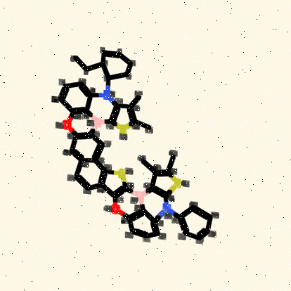 CCC1C=CCCC1N1c2cccc3c2B(c2cc4c(ccc5c6c(sc54)B4c5c(cccc5N(c5ccccc5)c5sc(C)c(C)c54)O6)cc2O3)c2sc(C)c(C)c21